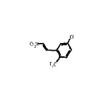 O=[N+]([O-])C=Cc1cc(Cl)ccc1C(F)(F)F